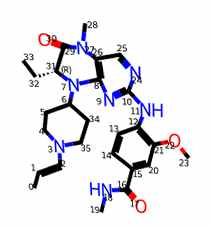 CC=CN1CCC(N2c3nc(Nc4ccc(C(=O)NC)cc4OC)ncc3N(C)C(=O)[C@H]2CC)CC1